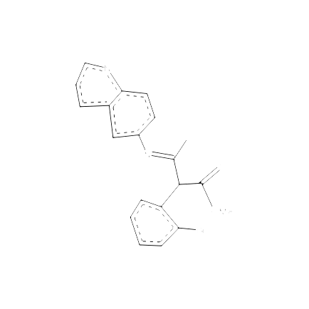 COC(=O)C(/C(C)=N/c1ccc2ncccc2c1)c1ccccc1Br